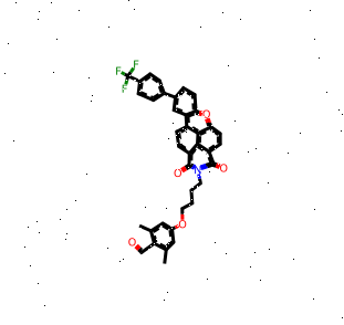 Cc1cc(OCCCCn2c(=O)c3ccc4oc5ccc(-c6ccc(C(F)(F)F)cc6)cc5c5ccc(c2=O)c3c45)cc(C)c1C=O